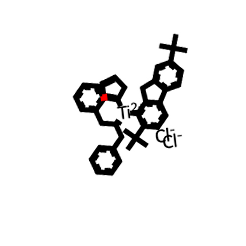 CC(C)(C)c1ccc2c(c1)Cc1c-2ccc(C(C)(C)C)[c]1[Ti+2]([C]1=CC=CC1)=[C](Cc1ccccc1)Cc1ccccc1.[Cl-].[Cl-]